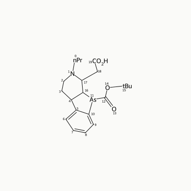 CCCN1CCC2c3ccccc3[As](C(=O)OC(C)(C)C)C2C1CC(=O)O